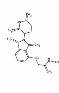 C=C(CNc1cccc2c(=C)n(C3CCC(=C)NC3=C)c(=C)c12)NC